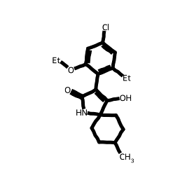 CCOc1cc(Cl)cc(CC)c1C1=C(O)C2(CCC(C)CC2)NC1=O